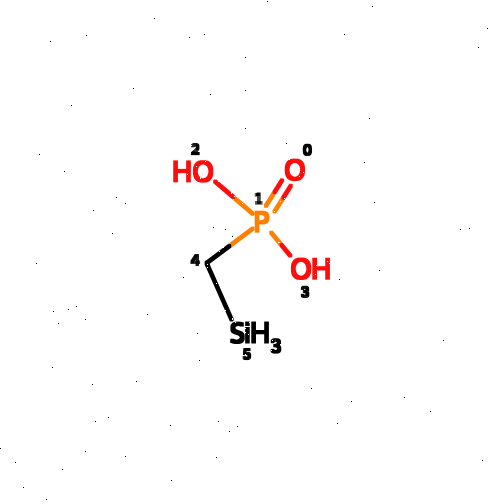 O=P(O)(O)C[SiH3]